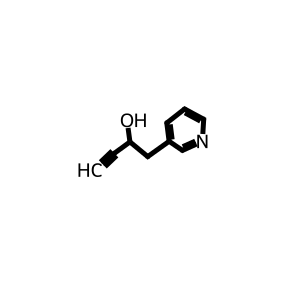 C#CC(O)Cc1cccnc1